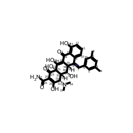 Cc1cc(C)cc(/C=C2\c3cccc(O)c3C(=O)C3=C(O)[C@]4(O)C(=O)C(C(N)=O)=C(O)[C@@H](N(C)C)[C@H]4[C@@H](O)[C@H]32)c1